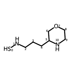 SNCCCC1COCCN1